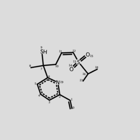 C=Cc1cccc(C(C)(S)C/C=C\S(=O)(=O)C(C)C)n1